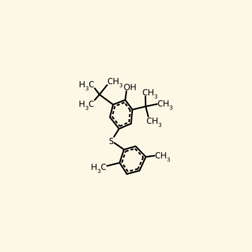 Cc1ccc(C)c(Sc2cc(C(C)(C)C)c(O)c(C(C)(C)C)c2)c1